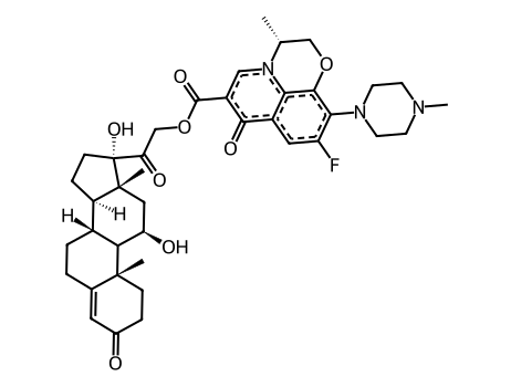 C[C@@H]1COc2c(N3CCN(C)CC3)c(F)cc3c(=O)c(C(=O)OCC(=O)[C@]4(O)CC[C@@H]5[C@H]6CCC7=CC(=O)CC[C@@]7(C)C6[C@H](O)C[C@]54C)cn1c23